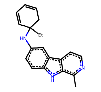 CCC1(Nc2ccc3[nH]c4c(C)nccc4c3c2)C=CC=CC1